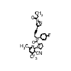 C=CC(=O)n1cc(C#CCN(C(=O)[C@@H]2CCCN2c2nc(C)cc(C(F)(F)F)c2C#N)c2ccc(F)cc2)cn1